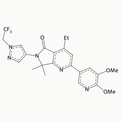 CCc1cc(-c2cnc(OC)c(OC)c2)nc2c1C(=O)N(c1cnn(CC(F)(F)F)c1)C2(C)C